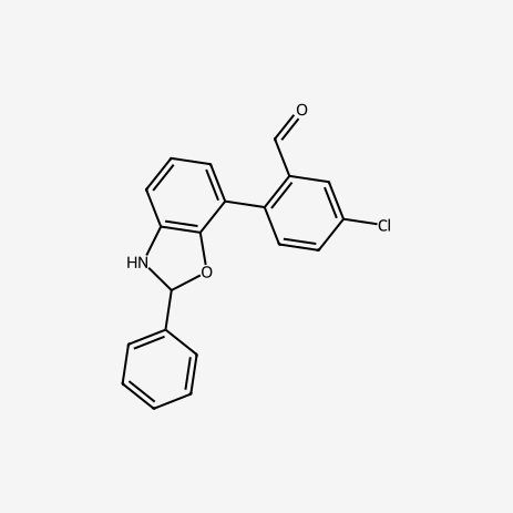 O=Cc1cc(Cl)ccc1-c1cccc2c1OC(c1ccccc1)N2